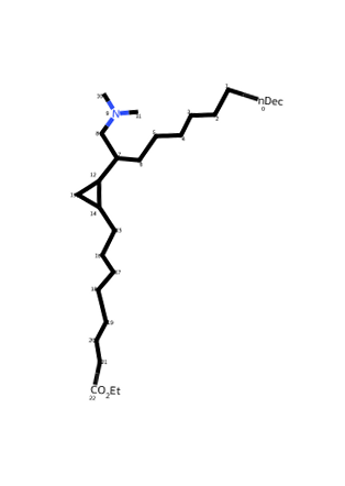 CCCCCCCCCCCCCCCCC(CN(C)C)C1CC1CCCCCCCC(=O)OCC